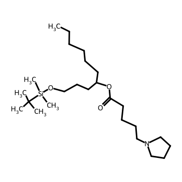 CCCCCCC(CCCO[Si](C)(C)C(C)(C)C)OC(=O)CCCCN1CCCC1